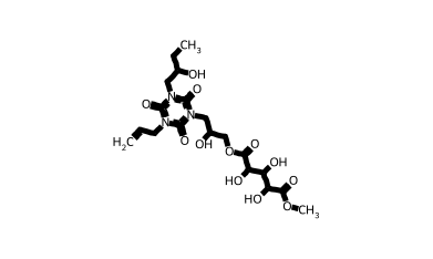 C=CCn1c(=O)n(CC(O)CC)c(=O)n(CC(O)COC(=O)C(O)C(O)C(O)C(=O)OC)c1=O